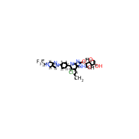 C=CCc1c(Cl)c(-c2ccc(-n3cc4c(n3)CN(CC(F)(F)F)C4)cc2)nc2nc(O[C@@H]3CO[C@H]4[C@@H]3OC[C@H]4O)[nH]c12